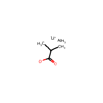 CC(C)C(=O)[O-].[AlH3].[Li+]